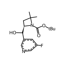 CC(C)(C)OC(=O)N1[C@@H](C(O)c2cncc(F)c2)CC1(C)C